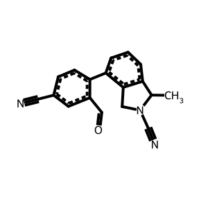 CC1c2cccc(-c3ccc(C#N)cc3C=O)c2CN1C#N